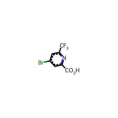 O=C(O)c1cc(Br)cc(C(F)(F)F)n1